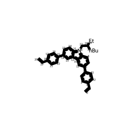 C=Cc1ccc(-c2ccc3c(c2)c2cc(-c4ccc(C=C)cc4)ccc2n3CC(CC)CCCC)cc1